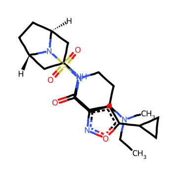 CCN(C)C1CCN(S(=O)(=O)N2[C@H]3CC[C@H]2CC(NC(=O)c2cc(C4CC4)on2)C3)CC1